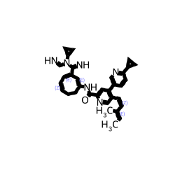 C/C=C(C)/C=C\c1cnc(C(=O)N/C2=C/C(C(=N)N(C=N)C3CC3)=C\C=C/CC2)cc1-c1ccc(C2CC2)nc1